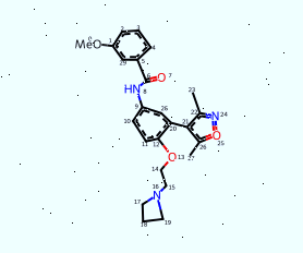 COc1cccc(C(=O)Nc2ccc(OCCN3CCC3)c(-c3c(C)noc3C)c2)c1